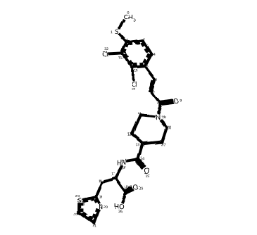 CSc1ccc(C=CC(=O)N2CCC(C(=O)NC(Cc3nccs3)C(=O)O)CC2)c(Cl)c1Cl